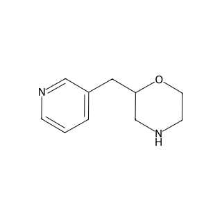 c1cncc(CC2CNCCO2)c1